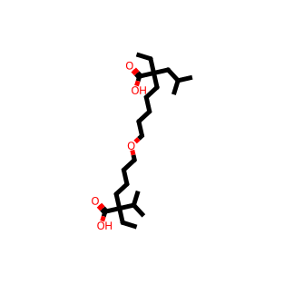 CCC(CCCCCOCCCCC(CC)(C(=O)O)C(C)C)(CC(C)C)C(=O)O